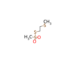 CSCCSS(C)(=O)=O